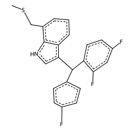 CSCc1cccc2c(C(c3ccc(F)cc3)c3ccc(F)cc3F)c[nH]c12